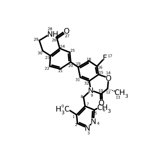 Cc1cnnc(C)c1CN1C(=O)[C@@H](C)Oc2c(F)cc(-c3ccc4c(c3)C(=O)NCC4)cc21